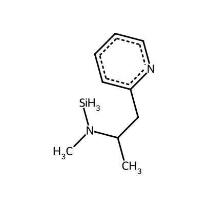 CC(Cc1ccccn1)N(C)[SiH3]